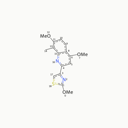 COc1nc(-c2cc(OC)c3ccc(OC)c(C)c3n2)cs1